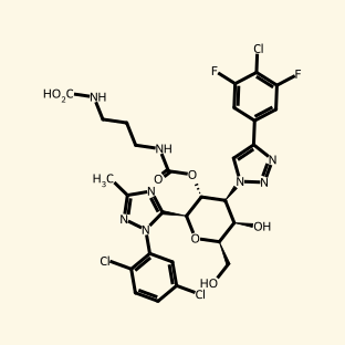 Cc1nc([C@@H]2O[C@H](CO)[C@H](O)[C@H](n3cc(-c4cc(F)c(Cl)c(F)c4)nn3)[C@H]2OC(=O)NCCCNC(=O)O)n(-c2cc(Cl)ccc2Cl)n1